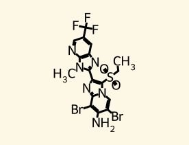 CCS(=O)(=O)c1c(-c2nc3cc(C(F)(F)F)cnc3n2C)nc2c(Br)c(N)c(Br)cn12